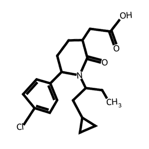 CCC(CC1CC1)N1C(=O)C(CC(=O)O)CCC1c1ccc(Cl)cc1